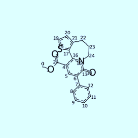 COC(=O)c1cc(-c2ccccc2)c(=O)n2c1-c1sccc1CCC2